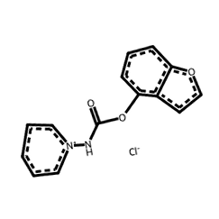 O=C(N[n+]1ccccc1)Oc1cccc2occc12.[Cl-]